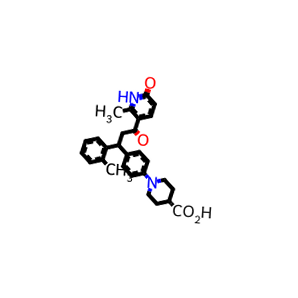 Cc1ccccc1C(CC(=O)c1ccc(=O)[nH]c1C)c1ccc(N2CCC(C(=O)O)CC2)cc1